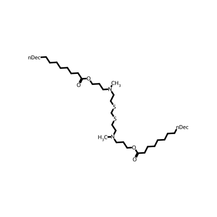 CCCCCCCCCCCCCCCCCC(=O)OCCCN(C)CCSCSCCN(C)CCCOC(=O)CCCCCCCCCCCCCCCCC